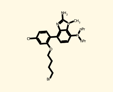 CCCN(CCC)c1ccc(-c2ccc(Cl)cc2OCCCCBr)c2nc(N)n(C)c12